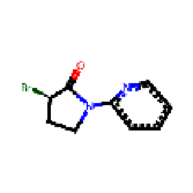 O=C1[C@H](Br)CCN1c1ccccn1